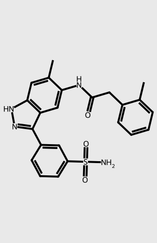 Cc1ccccc1CC(=O)Nc1cc2c(-c3cccc(S(N)(=O)=O)c3)n[nH]c2cc1C